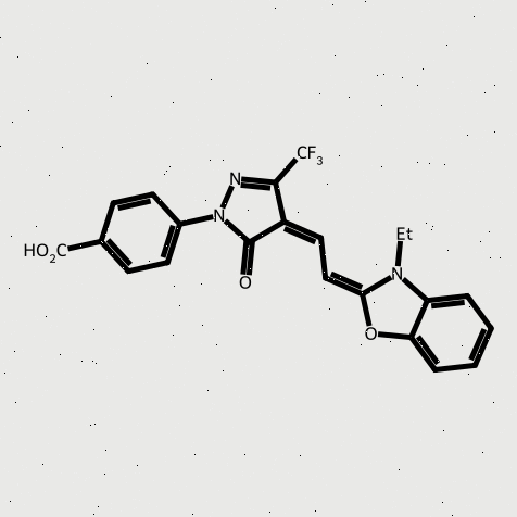 CCN1C(=CC=C2C(=O)N(c3ccc(C(=O)O)cc3)N=C2C(F)(F)F)Oc2ccccc21